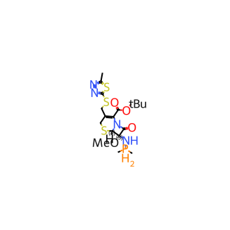 CO[C@@]1(N[PH2](C)C)C(=O)N2C(C(=O)OC(C)(C)C)=C(CSc3nnc(C)s3)CS[C@H]21